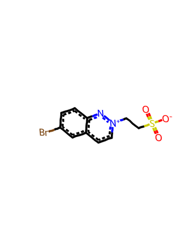 O=S(=O)([O-])CC[n+]1ccc2cc(Br)ccc2n1